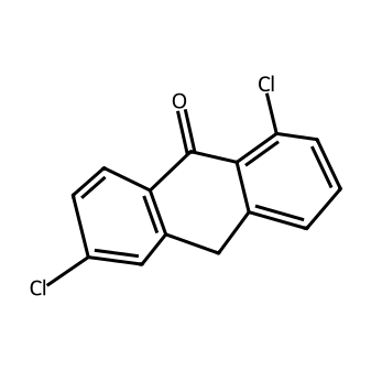 O=C1c2ccc(Cl)cc2Cc2cccc(Cl)c21